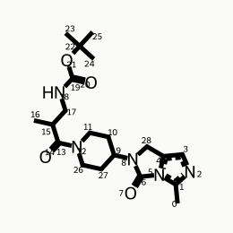 Cc1ncc2n1C(=O)N(C1CCN(C(=O)C(C)CNC(=O)OC(C)(C)C)CC1)C2